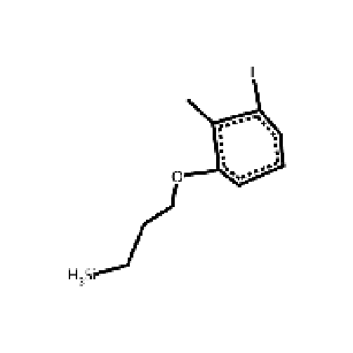 Cc1c(I)cccc1OCCC[SiH3]